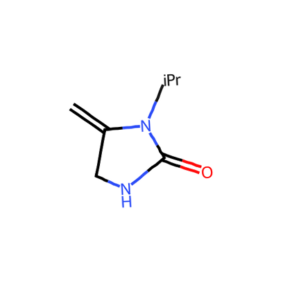 C=C1CNC(=O)N1C(C)C